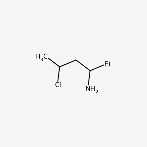 CCC(N)CC(C)Cl